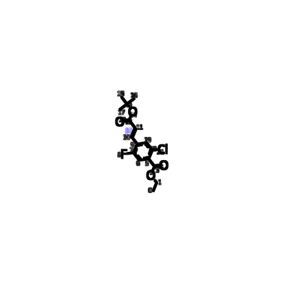 CCOC(=O)c1cc(F)c(/C=C/C(=O)OC(C)(C)C)cc1Cl